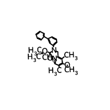 COc1c(C)cnc(CN(C(=O)OC(C)(C)C)c2cccc(-c3ccccc3)c2)c1C